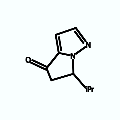 CC(C)C1CC(=O)c2ccnn21